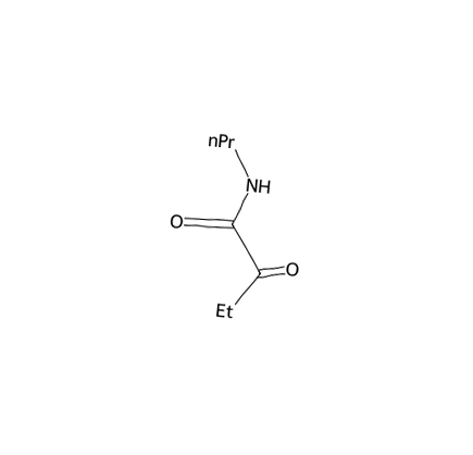 [CH2]CCNC(=O)C(=O)CC